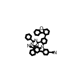 N#Cc1ccc2c3ccc(C#N)cc3n(-c3ccc(-c4cccc5oc6ccccc6c45)cc3-c3nc(-c4ccccc4)nc(-c4ccccc4)n3)c2c1